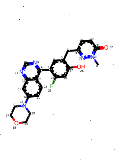 Cn1nc(Cc2cc(-c3ncnc4cc(N5CCOCC5)ccc34)c(F)cc2O)ccc1=O